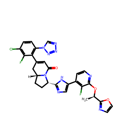 C[C@@H](Oc1nccc(-c2cnc([C@@H]3CC[C@@H]4CC(c5c(-n6cnnn6)ccc(Cl)c5F)=CC(=O)N43)[nH]2)c1F)c1ncco1